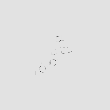 Cc1ncsc1[C@@H](CNC(=O)c1cc(-c2ncc(F)cn2)ccc1Cl)N1CCC(F)(F)CC1